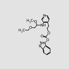 CCOCC(Nc1cnccc1CCOC(=O)On1nnc2ccccc21)OC